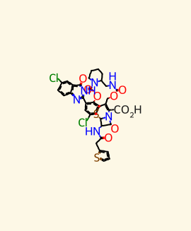 O=C(Cc1cccs1)NC1C(=O)N2C(C(=O)O)=C(COC(=O)NCC3CCCCN3C(=O)Oc3ccc(Cl)cc3-c3nc4ccc(Cl)cc4c(=O)[nH]3)CSC12